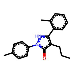 CCCc1c(-c2ccccc2C)[nH]n(-c2ccc(C)cc2)c1=O